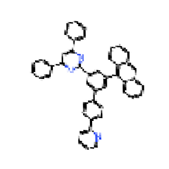 c1ccc(-c2cc(-c3ccccc3)nc(-c3cc(-c4ccc(-c5ccccn5)cc4)cc(-c4c5ccccc5cc5ccccc45)c3)n2)cc1